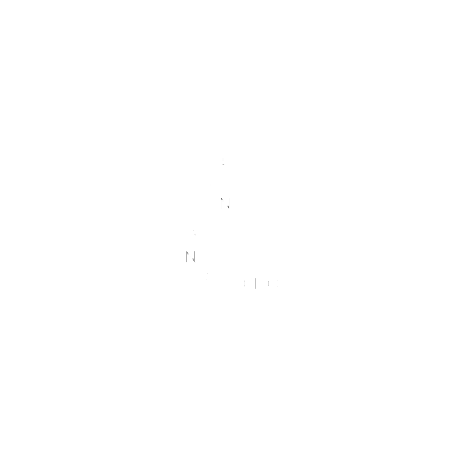 O=Cc1cncc(N2CCCC2)c1